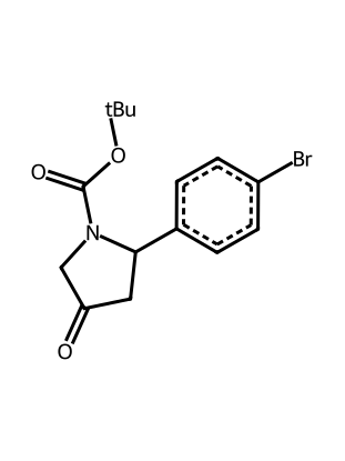 CC(C)(C)OC(=O)N1CC(=O)CC1c1ccc(Br)cc1